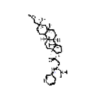 CNN(CC(=O)[C@H]1CC[C@H]2[C@@H]3CC[C@H]4C[C@@](O)(COC)CCC4[C@H]3CC[C@]12C)/N=C1/C=NC=CC1